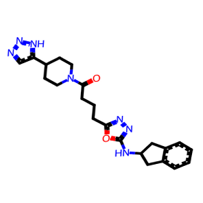 O=C(CCCc1nnc(NC2Cc3ccccc3C2)o1)N1CCC(c2cnn[nH]2)CC1